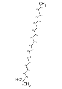 [CH2]C(O)CCC=CCCCCCCCCCCCCCCCCCC